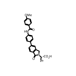 COc1ccc(C(=O)Nc2ccc(-c3ccc4c(c3)CN([C@H](C(=O)O)C(C)C)C4=O)cc2)cc1